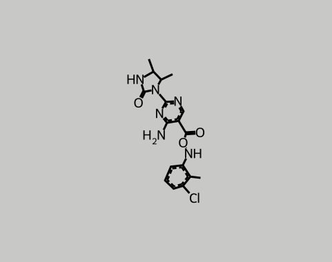 Cc1c(Cl)cccc1NOC(=O)c1cnc(N2C(=O)NC(C)C2C)nc1N